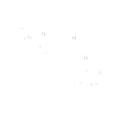 Cc1cc2c(ccn2C2CCN(C(=O)OC(C)(C)C)CC2)cc1N1CCC(=O)NC1=O